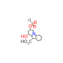 O=C(O)c1c2ccccc2n2cc(OS(=O)(=O)C3CC3)cc(O)c12